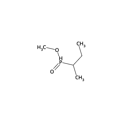 CCC(C)[PH](=O)OC